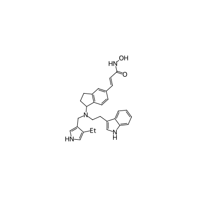 CCc1c[nH]cc1CN(CCc1c[nH]c2ccccc12)C1CCc2cc(/C=C/C(=O)NO)ccc21